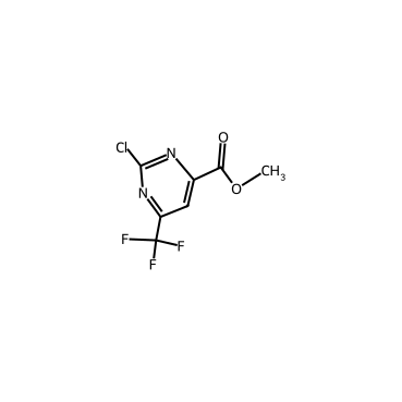 COC(=O)c1cc(C(F)(F)F)nc(Cl)n1